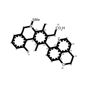 CSN1Cc2cccc(F)c2-c2c(C)c(-c3ccc4c5c(ccnc35)CCO4)c(CC(=O)O)c(C)c21